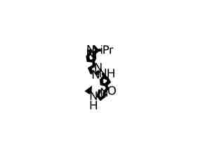 CC(C)c1cnn2ccc(-c3ccnc(Nc4ccc(C(=O)N5CCC(NC6CC6)C5)cc4)n3)cc12